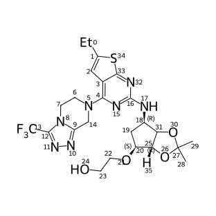 CCc1cc2c(N3CCn4c(nnc4C(F)(F)F)C3)nc(N[C@@H]3C[C@H](OCCO)[C@H]4OC(C)(C)OC34)nc2s1